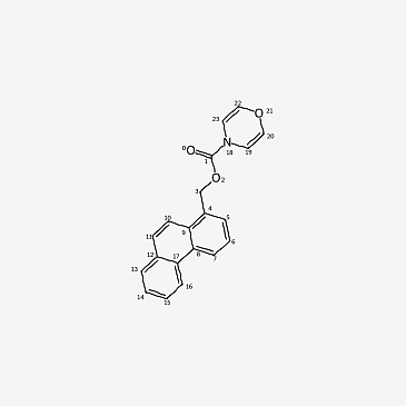 O=C(OCc1cccc2c1ccc1ccccc12)N1C=COC=C1